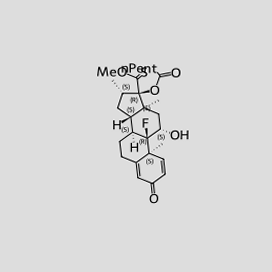 CCCCCC(=O)O[C@]1(C(=S)OC)[C@@H](C)C[C@H]2[C@@H]3CCC4=CC(=O)C=C[C@]4(C)[C@@]3(F)[C@@H](O)C[C@@]21C